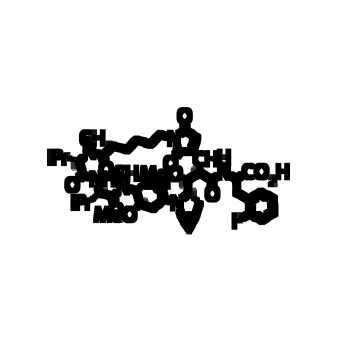 CC[C@H](C)C([C@@H](CC(=O)N1C2CC2C[C@H]1[C@H](OC)[C@@H](C)C(=O)NC(Cc1ccccc1F)C(=O)O)OC)N(C)C(=O)[C@@H](NC(=O)[C@H](C(C)C)N(C)C(=O)CCCCCN1C(=O)C=CC1=O)C(C)C